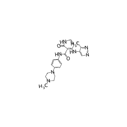 Cc1ncncc1Nc1cc[nH]c(=O)c1C(=O)Nc1ccc(N2CCN(C)CC2)cc1